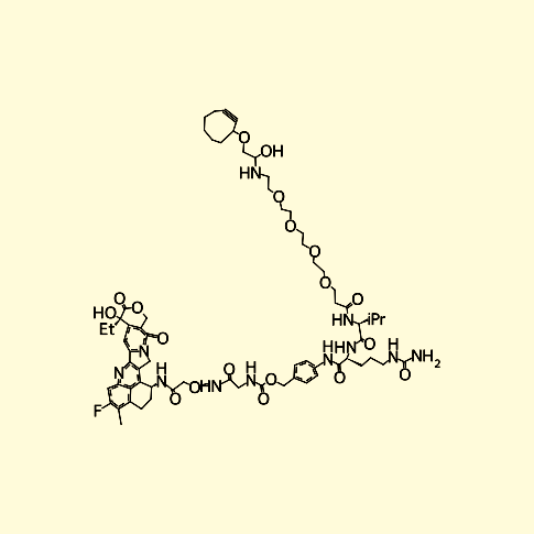 CC[C@@]1(O)C(=O)OCc2c1cc1n(c2=O)Cc2c-1nc1cc(F)c(C)c3c1c2[C@@H](NC(=O)COCNC(=O)CNC(=O)OCc1ccc(NC(=O)[C@H](CCCNC(N)=O)NC(=O)[C@@H](NC(=O)CCOCCOCCOCCOCCNC(O)COC2C#CCCCCC2)C(C)C)cc1)CC3